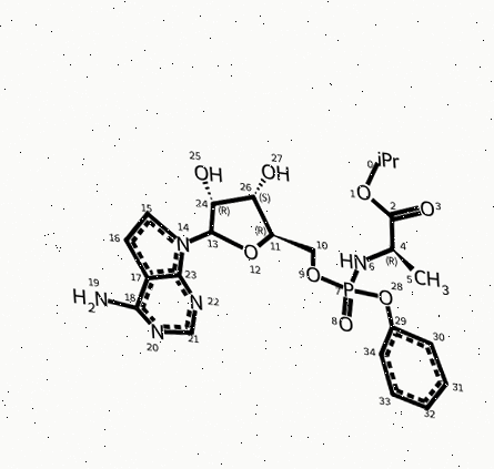 CC(C)OC(=O)[C@@H](C)NP(=O)(OC[C@H]1OC(n2ccc3c(N)ncnc32)[C@H](O)[C@@H]1O)Oc1ccccc1